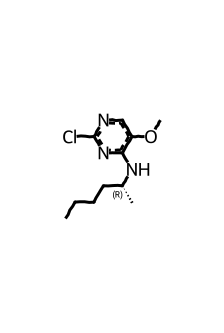 CCCC[C@@H](C)Nc1nc(Cl)ncc1OC